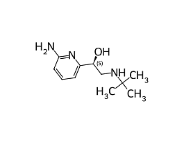 CC(C)(C)NC[C@H](O)c1cccc(N)n1